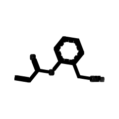 C=CC(=O)Oc1ccccc1COC